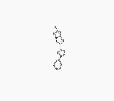 Brc1nn2cc(-c3ccc(-c4ccccc4)s3)nc2s1